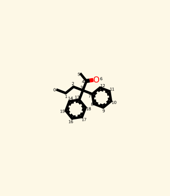 CCCC(C(C)=O)(c1ccccc1)c1ccccc1